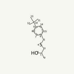 CC(O)CSCc1ccc(C(C)(C)C)cc1